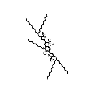 CCCCCCCCCCC(CCCCCCCC)Cc1cc(-c2cc3c(cc(-c4cc(CC(CCCCCCCC)CCCCCCCCCC)c(Br)s4)c(=O)n3CCCCCCCC)[nH]c2=O)sc1Br